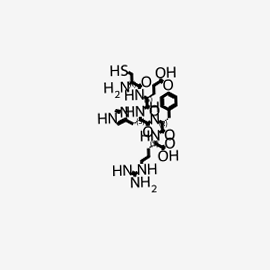 N=C(N)NCCC[C@H](NC(=O)[C@@H](Cc1ccccc1)NC(=O)[C@H](Cc1c[nH]cn1)NC(=O)[C@H](CCC(=O)O)NC(=O)[C@@H](N)CS)C(=O)O